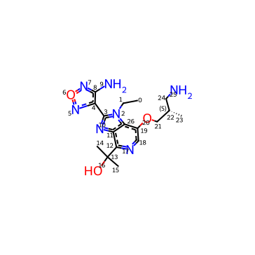 CCn1c(-c2nonc2N)nc2c(C(C)(C)O)ncc(OC[C@@H](C)CN)c21